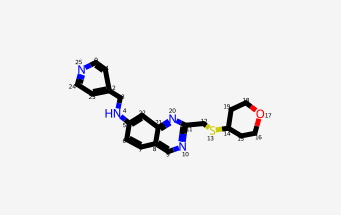 c1cc(CNc2ccc3cnc(CSC4CCOCC4)nc3c2)ccn1